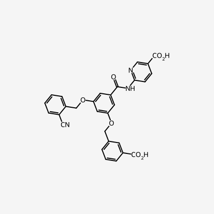 N#Cc1ccccc1COc1cc(OCc2cccc(C(=O)O)c2)cc(C(=O)Nc2ccc(C(=O)O)cn2)c1